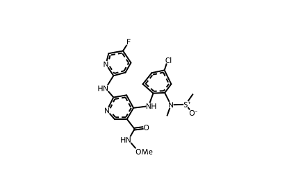 CONC(=O)c1cnc(Nc2ccc(F)cn2)cc1Nc1ccc(Cl)cc1N(C)[S+](C)[O-]